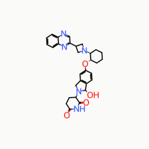 O=C1CCC(N2Cc3cc(O[C@H]4CCCC[C@@H]4N4CC(c5cnc6ccccc6n5)C4)ccc3C2O)C(=O)N1